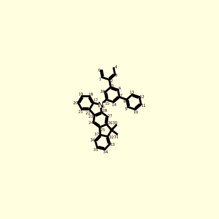 C=C/C(=C\C)c1cc(-c2ccccc2)cc(-n2c3ccccc3c3cc4c(cc32)C(C)(C)c2ccccc2-4)c1